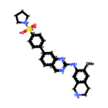 COc1cc2c(cc1Nc1ncc3ccc(-c4ccc(S(=O)(=O)N5CCCC5)cc4)cc3n1)CNCC2